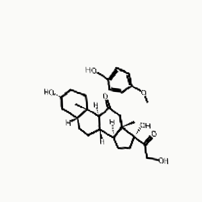 COc1ccc(O)cc1.C[C@]12CC[C@@H](O)C[C@H]1CC[C@@H]1[C@@H]2C(=O)C[C@@]2(C)[C@H]1CC[C@]2(O)C(=O)CO